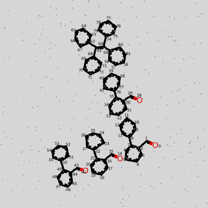 O=Cc1ccccc1-c1ccccc1.O=Cc1ccccc1-c1ccccc1.O=Cc1ccccc1-c1ccccc1.O=Cc1ccccc1-c1ccccc1.c1ccc(C(=C(c2ccccc2)c2ccccc2)c2ccccc2)cc1